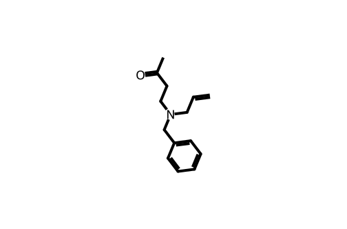 C=CCN(CCC(C)=O)Cc1ccccc1